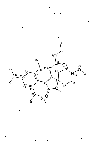 CCOC(=O)OC1=C(c2c(C(C)C)cc(C(C)C)cc2C(C)C)C(=O)OC12CCN(OC)CC2